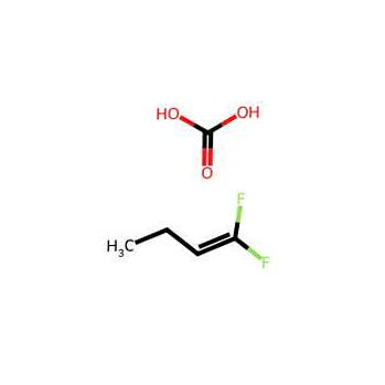 CCC=C(F)F.O=C(O)O